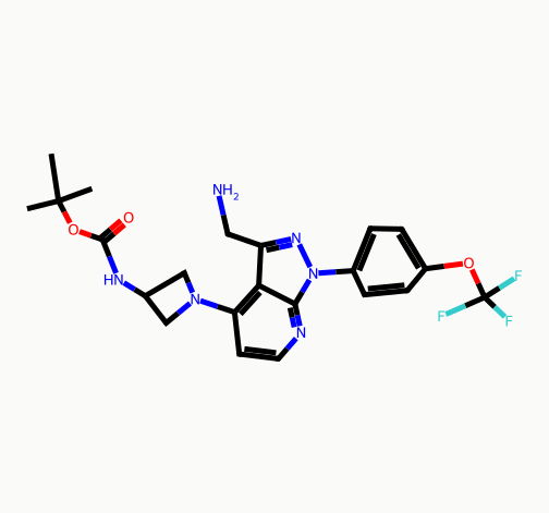 CC(C)(C)OC(=O)NC1CN(c2ccnc3c2c(CN)nn3-c2ccc(OC(F)(F)F)cc2)C1